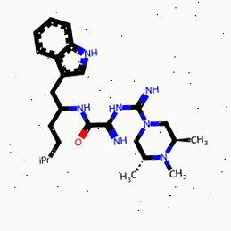 CC(C)CCC(Cc1c[nH]c2ccccc12)NC(=O)C(=N)NC(=N)N1C[C@@H](C)N(C)[C@H](C)C1